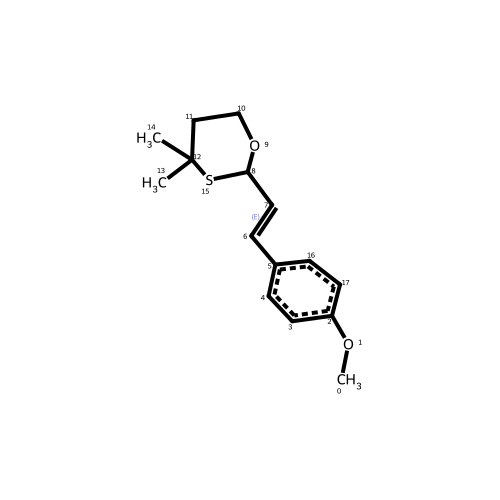 COc1ccc(/C=C/C2OCCC(C)(C)S2)cc1